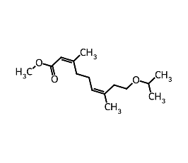 COC(=O)C=C(C)CCC=C(C)CCOC(C)C